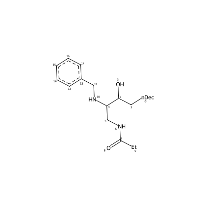 CCCCCCCCCCCC(O)C(CNC(=O)CC)NCc1ccccc1